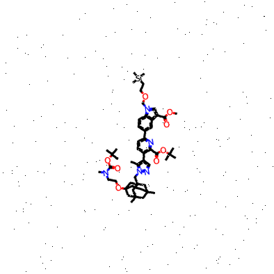 COC(=O)c1cn(COCC[Si](C)(C)C)c2ccc(-c3ccc(-c4cnn(CC56CC7(C)CC(C)(C5)CC(OCCN(C)C(=O)OC(C)(C)C)(C7)C6)c4C)c(C(=O)OC(C)(C)C)n3)cc12